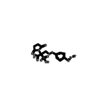 [N-]=[N+]=Nc1ccc(SSCC(C(=O)O)(N2C(=O)CCC2=O)S(=O)(=O)O)cc1